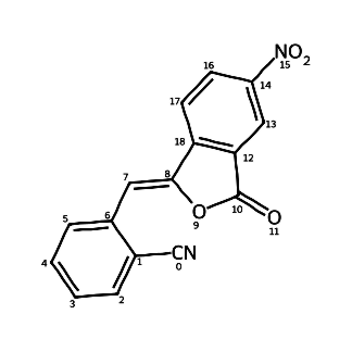 N#Cc1ccccc1C=C1OC(=O)c2cc([N+](=O)[O-])ccc21